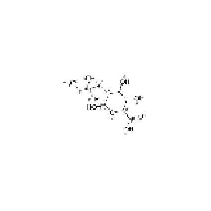 CCC(C)(C)O[C@@H]1[C@@H](O)[C@H](O)[C@@H](C(=O)O)O[C@H]1O